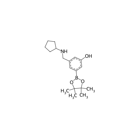 CC1(C)OB(c2cc(O)cc(CNC3CCCC3)c2)OC1(C)C